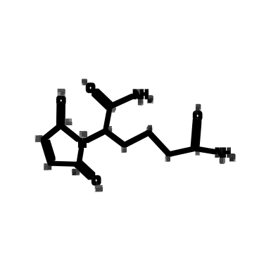 NC(=O)CCCC(C(N)=O)N1C(=O)C=CC1=O